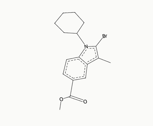 COC(=O)c1ccc2c(c1)c(C)c(Br)n2C1CCCCC1